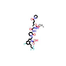 COC(=O)N[C@@H](CC/C=C/C(=O)N1CCCC1)C(=O)Nc1cccn(Cc2cc3cc(F)cc(CCC(F)(F)F)c3n2C(=O)O)c1=O